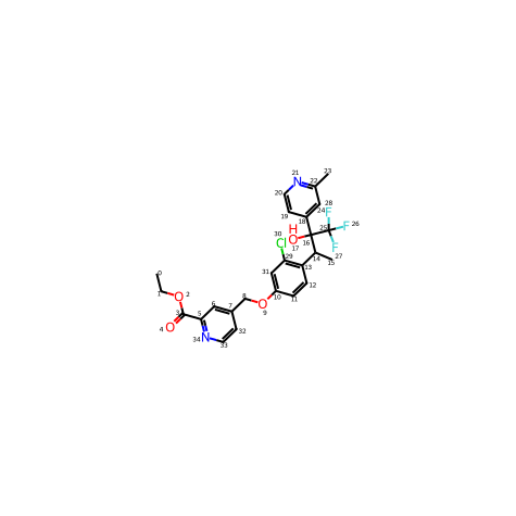 CCOC(=O)c1cc(COc2ccc(C(C)C(O)(c3ccnc(C)c3)C(F)(F)F)c(Cl)c2)ccn1